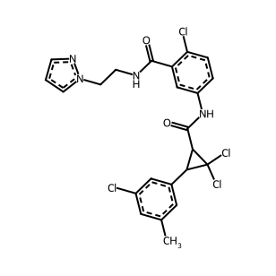 Cc1cc(Cl)cc(C2C(C(=O)Nc3ccc(Cl)c(C(=O)NCCn4cccn4)c3)C2(Cl)Cl)c1